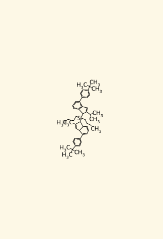 CCCC[Si](CCCC)(C1C(C(C)C)=Cc2c(-c3ccc(C(C)(C)C)cc3)cccc21)C1C(C)=CC2C(c3ccc(C(C)(C)C)cc3)=CC=CC21